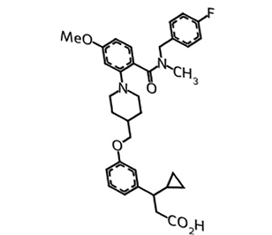 COc1ccc(C(=O)N(C)Cc2ccc(F)cc2)c(N2CCC(COc3cccc(C(CC(=O)O)C4CC4)c3)CC2)c1